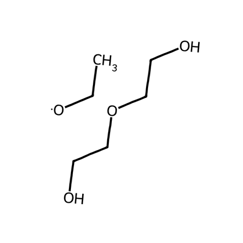 CC[O].OCCOCCO